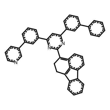 c1ccc(-c2cccc(-c3cc(-c4cccc(-c5cccnc5)c4)nc(C4=c5cccc6c5=C(CC4)c4ccccc4-6)n3)c2)cc1